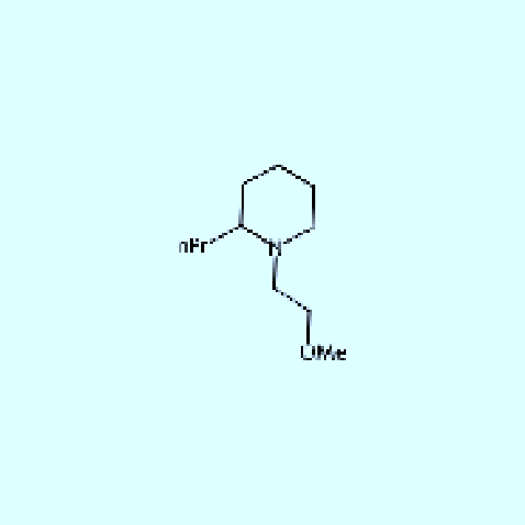 CCCC1CCCCN1CCOC